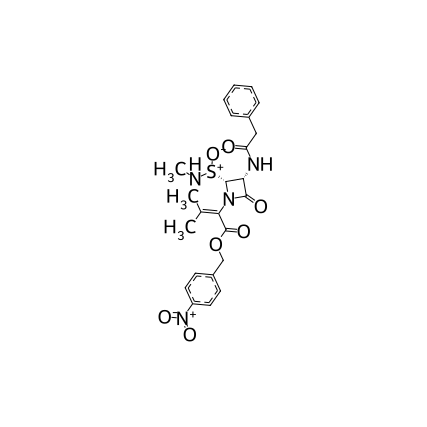 CN[S+]([O-])[C@@H]1[C@H](NC(=O)Cc2ccccc2)C(=O)N1C(C(=O)OCc1ccc([N+](=O)[O-])cc1)=C(C)C